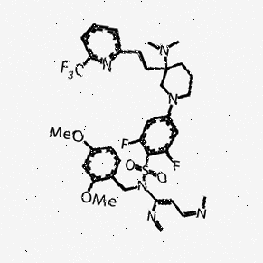 C=N/C(=C\C=N/C)N(Cc1ccc(OC)cc1OC)S(=O)(=O)c1c(F)cc(N2CCC[C@@](CCc3cccc(C(F)(F)F)n3)(N(C)C)C2)cc1F